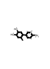 Cc1cc(O)c(O)cc1-c1ccc(N)nc1